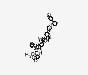 CN(CC[C@H](CSc1ccccc1)Nc1ccc(S(=O)(=O)Nc2ncnc3cc(N4CCN(Cc5ccccc5-c5ccc(Cl)cc5)CC4)ccc23)cc1[N+](=O)[O-])c1cccc2c1OCO2